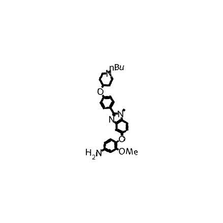 CCCCN1CCC(Oc2ccc(-c3nc4cc(Oc5ccc(N)cc5OC)ccc4n3C)cc2)CC1